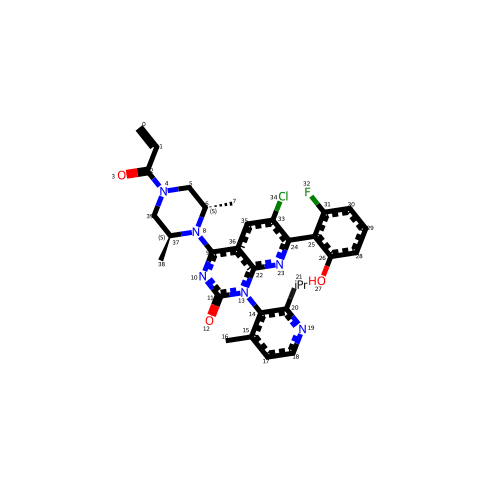 C=CC(=O)N1C[C@H](C)N(c2nc(=O)n(-c3c(C)ccnc3C(C)C)c3nc(-c4c(O)cccc4F)c(Cl)cc23)[C@@H](C)C1